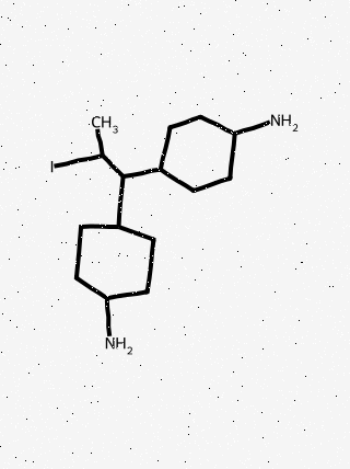 CC(I)C(C1CCC(N)CC1)C1CCC(N)CC1